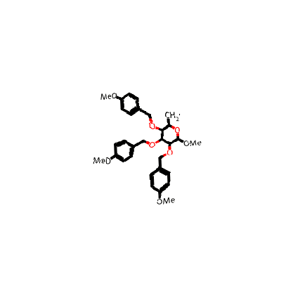 [CH2]C1OC(OC)C(OCc2ccc(OC)cc2)C(OCc2ccc(OC)cc2)C1OCc1ccc(OC)cc1